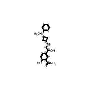 CN(c1ccccc1)[C@H]1C[C@H](NCC(O)c2ccc(O)c(C(N)=O)c2)C1